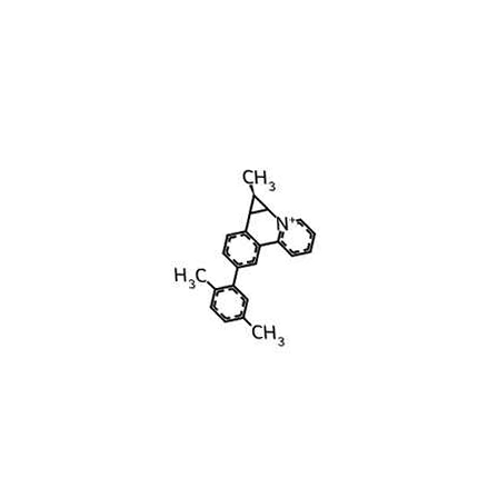 Cc1ccc(C)c(-c2ccc3c(c2)-c2cccc[n+]2C2C3[C@H]2C)c1